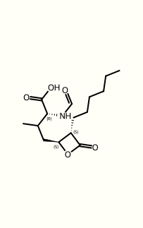 CCCCCC[C@@H]1C(=O)O[C@H]1CC(C)[C@@H](NC=O)C(=O)O